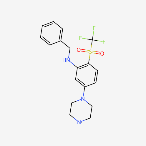 O=S(=O)(c1ccc(N2CC[N]CC2)cc1NCc1ccccc1)C(F)(F)F